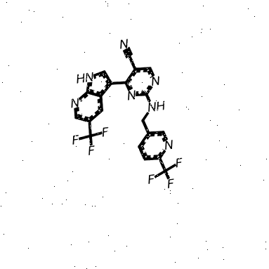 N#Cc1cnc(NCc2ccc(C(F)(F)F)nc2)nc1-c1c[nH]c2ncc(C(F)(F)F)cc12